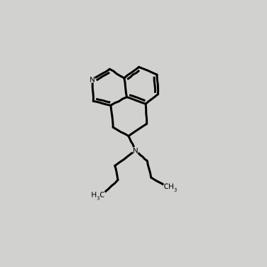 CCCN(CCC)C1Cc2cccc3cncc(c23)C1